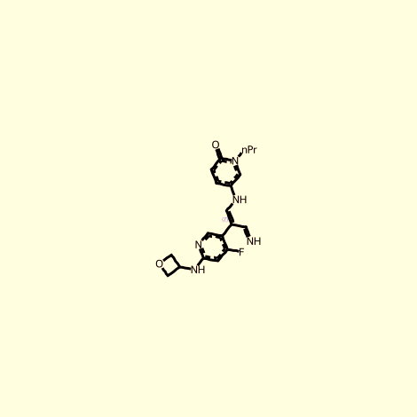 CCCn1cc(N/C=C(\C=N)c2cnc(NC3COC3)cc2F)ccc1=O